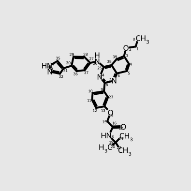 CCOc1ccc2nc(-c3cccc(OCC(=O)NC(C)(C)C)c3)nc(Nc3ccc(-c4cn[nH]c4)cc3)c2c1